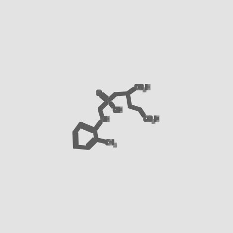 Cc1ccccc1NCP(=O)(O)CC(CCC(=O)O)C(=O)O